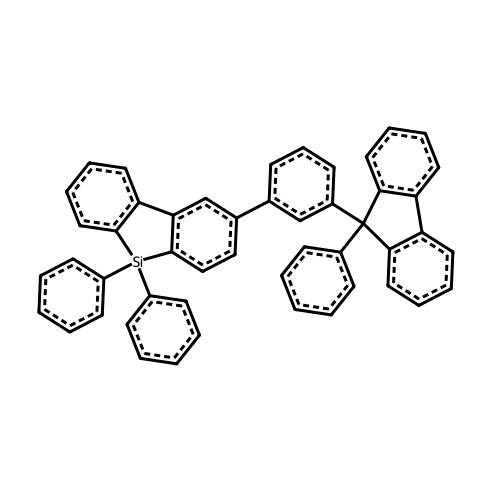 c1ccc(C2(c3cccc(-c4ccc5c(c4)-c4ccccc4[Si]5(c4ccccc4)c4ccccc4)c3)c3ccccc3-c3ccccc32)cc1